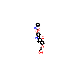 CC1(C)c2cc(OCCCO)ccc2C(=O)c2c1[nH]c1cc(OC(=O)Nc3ccccc3)ccc21